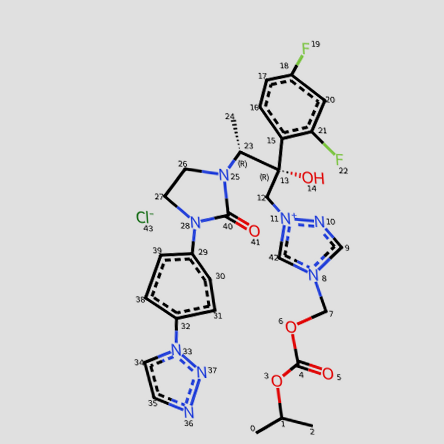 CC(C)OC(=O)OCn1cn[n+](C[C@](O)(c2ccc(F)cc2F)[C@@H](C)N2CCN(c3ccc(-n4ccnn4)cc3)C2=O)c1.[Cl-]